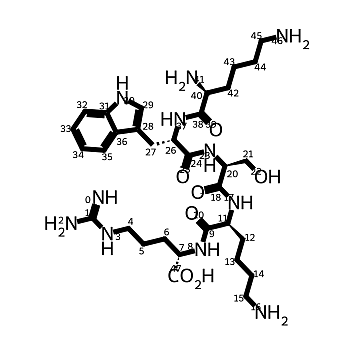 N=C(N)NCCC[C@H](NC(=O)[C@H](CCCCN)NC(=O)[C@H](CO)NC(=O)[C@H](Cc1c[nH]c2ccccc12)NC(=O)[C@@H](N)CCCCN)C(=O)O